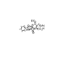 CCOC1S[C@@H]2[C@H](NC(=O)c3ccccc3)C(=O)N2C(C(=O)O)=C1COC(C)=O